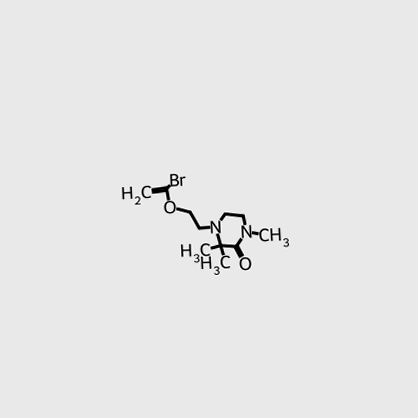 C=C(Br)OCCN1CCN(C)C(=O)C1(C)C